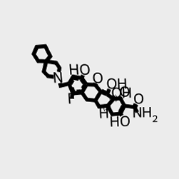 NC(=O)C1=C(O)C[C@@H]2CC3Cc4c(F)c(CN5CCC6(CCCCC6)CC5)cc(O)c4C(=O)C3=C(O)[C@]2(O)C1=O